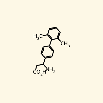 Cc1cccc(C)c1-c1ccc([C@@H](N)CC(=O)O)cc1